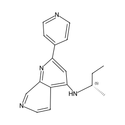 CC[C@H](C)Nc1cc(-c2ccncc2)nc2cnccc12